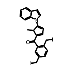 CC1C(C(=O)c2cc(CI)ccc2CI)=CC=C1n1ccc2ccccc21